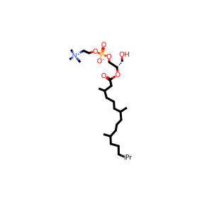 CC(C)CCCC(C)CCCC(C)CCCC(C)CC(=O)O[C@@H](CO)COP(=O)([O-])OCC[N+](C)(C)C